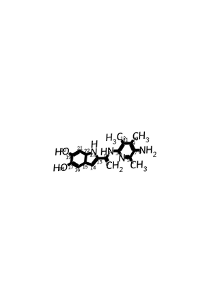 C=C(Nc1nc(C)c(N)c(C)c1C)C1=CC2C=C(O)C(O)=CC2N1